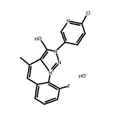 Cc1cc2cccc(F)c2[n+]2nn(-c3ccc(Cl)nc3)c(O)c12.[OH-]